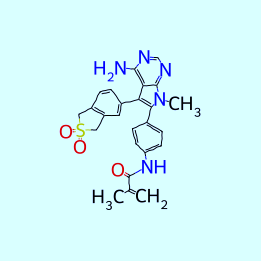 C=C(C)C(=O)Nc1ccc(-c2c(-c3ccc4c(c3)CS(=O)(=O)C4)c3c(N)ncnc3n2C)cc1